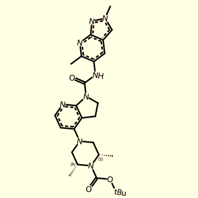 Cc1nc2nn(C)cc2cc1NC(=O)N1CCc2c(N3C[C@@H](C)N(C(=O)OC(C)(C)C)[C@@H](C)C3)ccnc21